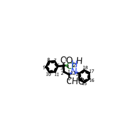 O=CC(CC(Cl)(C(=O)O)c1ccccc1)Nc1ccccc1